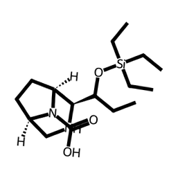 CCC(O[Si](CC)(CC)CC)[C@H]1NC[C@H]2CC[C@@H]1N2C(=O)O